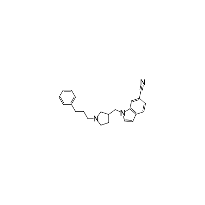 N#Cc1ccc2ccn(CC3CCN(CCCc4ccccc4)C3)c2c1